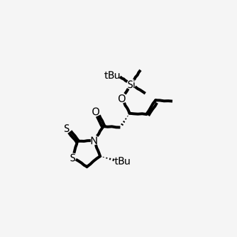 C/C=C/[C@H](CC(=O)N1C(=S)SC[C@H]1C(C)(C)C)O[Si](C)(C)C(C)(C)C